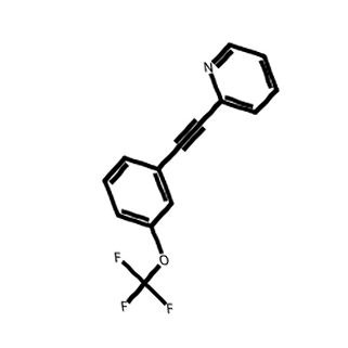 FC(F)(F)Oc1cccc(C#Cc2ccccn2)c1